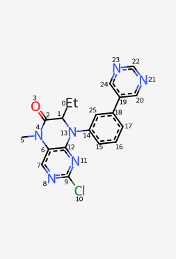 CCC1C(=O)N(C)c2cnc(Cl)nc2N1c1cccc(-c2cncnc2)c1